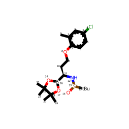 Cc1cc(Cl)ccc1OCC[C@@H](N[S+]([O-])C(C)(C)C)B1OC(C)(C)C(C)(C)O1